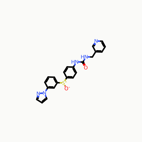 O=C(NCc1cccnc1)Nc1ccc([S+]([O-])c2cccc(-n3cccn3)c2)cc1